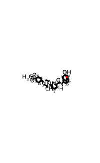 C[C@H]1CN(c2ccc(S(C)(=O)=O)cc2)CCN1c1cccc(C(=O)NC2C3CC4CC2CC(O)(C4)C3)n1